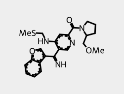 COCC1CCCN1C(=O)c1cc(NCSC)c(C(=N)c2coc3ccccc23)cn1